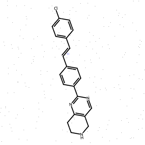 Clc1ccc(/C=C/c2ccc(-c3ncc4c(n3)CCNC4)cc2)cc1